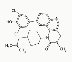 CN(C)CC1CCC(N2C(=O)N(C)Cc3cnc4ccc(-c5cc(Cl)c(O)c(Cl)c5)cc4c32)CC1